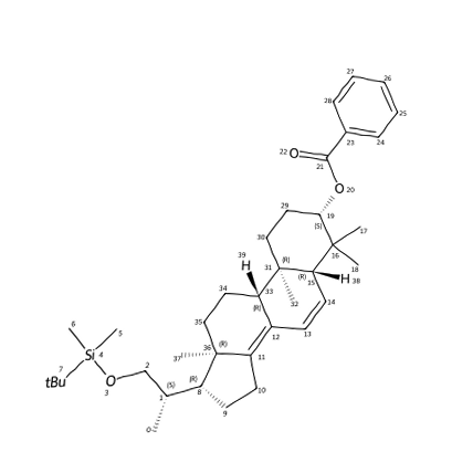 C[C@H](CO[Si](C)(C)C(C)(C)C)[C@H]1CCC2=C3C=C[C@H]4C(C)(C)[C@@H](OC(=O)c5ccccc5)CC[C@]4(C)[C@H]3CC[C@@]21C